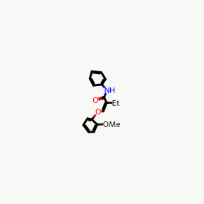 CCC(=COc1ccccc1OC)C(=O)Nc1ccccc1